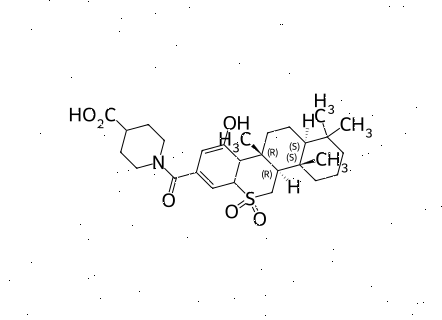 CC1(C)CCC[C@]2(C)[C@H]3CS(=O)(=O)C4C=C(C(=O)N5CCC(C(=O)O)CC5)C=C(O)C4[C@]3(C)CC[C@@H]12